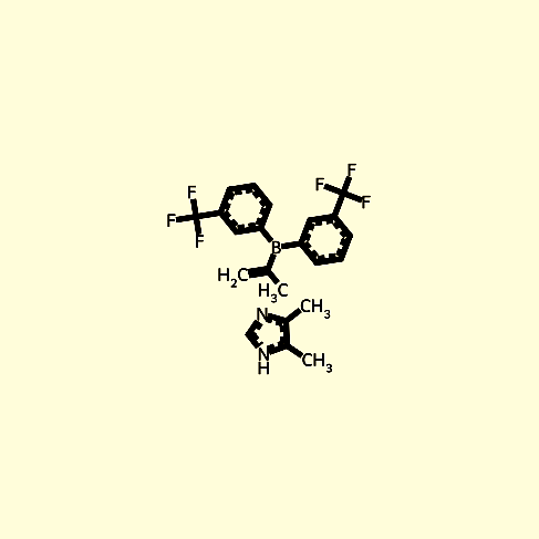 C=C(C)B(c1cccc(C(F)(F)F)c1)c1cccc(C(F)(F)F)c1.Cc1nc[nH]c1C